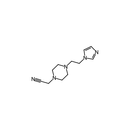 N#CCN1CCN(CCn2ccnc2)CC1